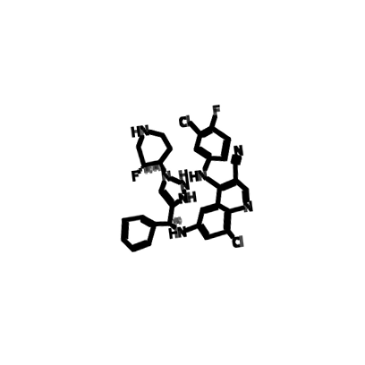 N#Cc1cnc2c(Cl)cc(N[C@H](C3=CN([C@@H]4CCNC[C@H]4F)NN3)c3ccccc3)cc2c1Nc1ccc(F)c(Cl)c1